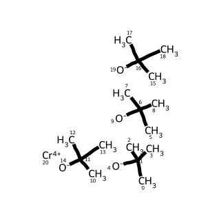 CC(C)(C)[O-].CC(C)(C)[O-].CC(C)(C)[O-].CC(C)(C)[O-].[Cr+4]